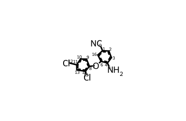 N#Cc1ccc(N)c(Oc2ccc(Cl)cc2Cl)c1